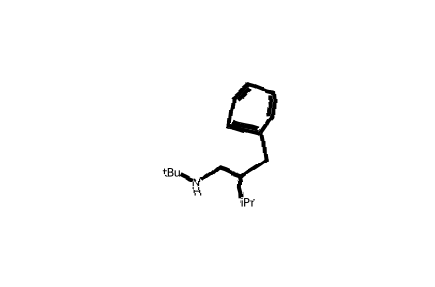 CC(C)C(CNC(C)(C)C)Cc1ccccc1